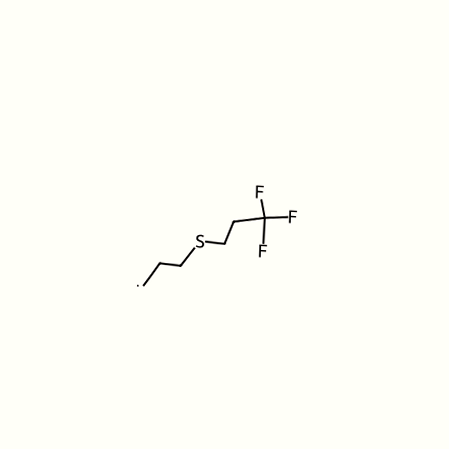 [CH2]CCSCCC(F)(F)F